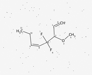 [CH]=CC(OC)C(F)(F)/C=C\CC